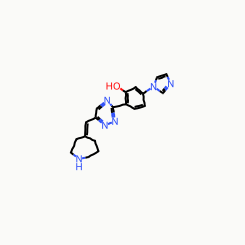 Oc1cc(-n2ccnc2)ccc1-c1ncc(C=C2CCCNCC2)nn1